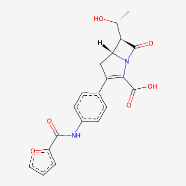 C[C@@H](O)[C@H]1C(=O)N2C(C(=O)O)=C(c3ccc(NC(=O)c4ccco4)cc3)C[C@H]12